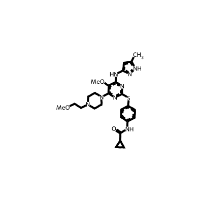 COCCN1CCN(c2nc(Sc3ccc(NC(=O)C4CC4)cc3)nc(Nc3cc(C)[nH]n3)c2OC)CC1